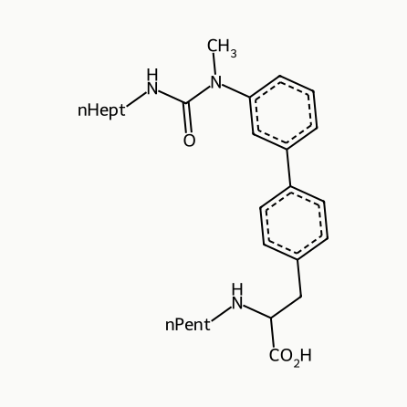 CCCCCCCNC(=O)N(C)c1cccc(-c2ccc(CC(NCCCCC)C(=O)O)cc2)c1